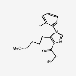 COCCCCc1c(C(=O)[CH]C(C)C)nnn1-c1ccccc1F